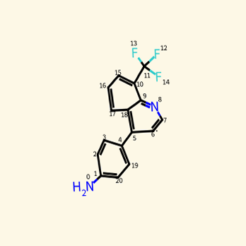 Nc1ccc(-c2[c]cnc3c(C(F)(F)F)cccc23)cc1